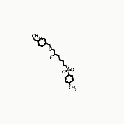 CCc1ccc(COCC(F)CCCCOS(=O)(=O)c2ccc(C)cc2)cc1